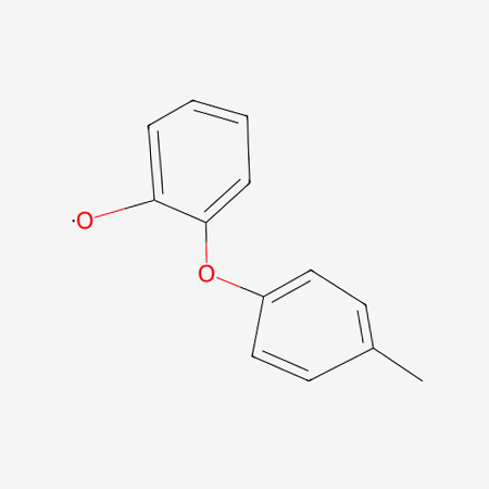 Cc1ccc(Oc2ccccc2[O])cc1